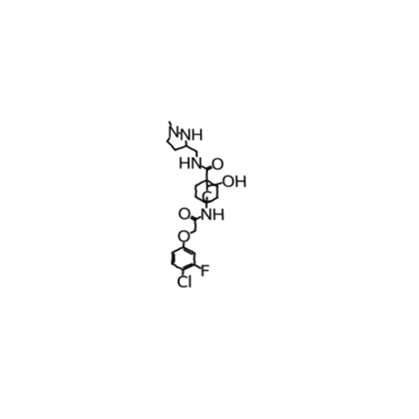 CN1CCC(CNC(=O)C23CCC(NC(=O)COc4ccc(Cl)c(F)c4)(CC2)CC3O)N1